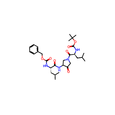 CC(C)C[C@H](NC(=O)OCc1ccccc1)C(=O)NC1CN(C(=O)[C@H](CC(C)C)NC(=O)OC(C)(C)C)CC1=O